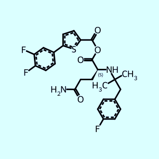 CC(C)(Cc1ccc(F)cc1)N[C@@H](CCC(N)=O)C(=O)OC(=O)c1ccc(-c2ccc(F)c(F)c2)s1